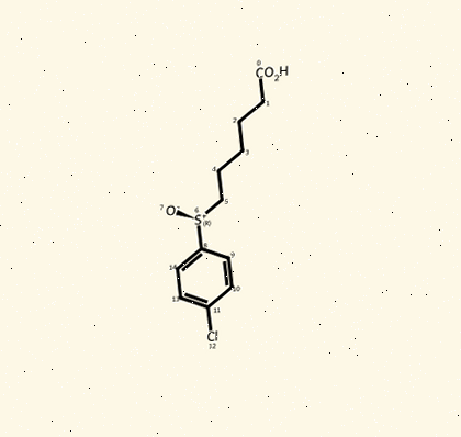 O=C(O)CCCCC[S@+]([O-])c1ccc(Cl)cc1